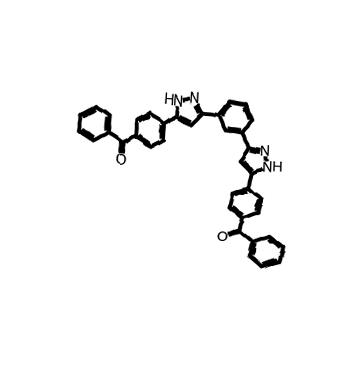 O=C(c1ccccc1)c1ccc(-c2cc(-c3cccc(-c4cc(-c5ccc(C(=O)c6ccccc6)cc5)[nH]n4)c3)n[nH]2)cc1